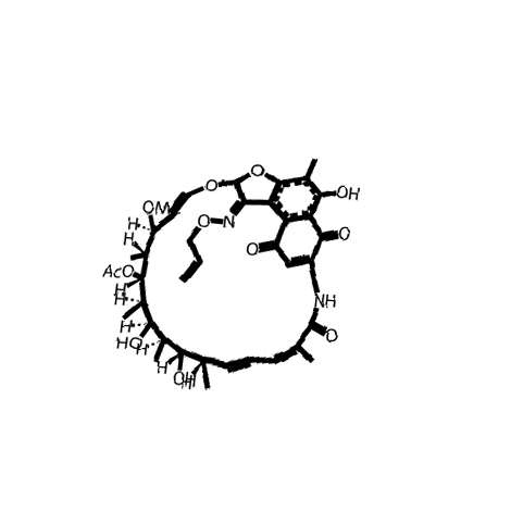 C=CCO/N=C1/c2c3c(C)c(O)c4c2C(=O)C=C(NC(=O)/C(C)=C\C=C\[C@H](C)[C@H](O)[C@@H](C)[C@@H](O)[C@@H](C)[C@H](OC(C)=O)[C@H](C)[C@@H](OC)/C=C/O[C@@]1(C)O3)C4=O